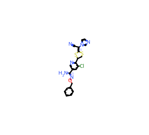 N#C/C(=C1/SCC(c2ncc(/C(N)=N/OCc3ccccc3)cc2Cl)S1)n1ccnc1